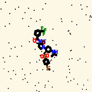 CSc1ccc(S(=O)(=O)C[C@@H]2C[C@H](NC(C)C)CC[C@@H]2N2CC[C@](C)(NC(=O)c3cccc(C(F)(F)F)c3)C2=O)cc1